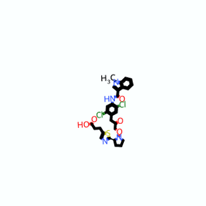 Cn1cc(C(=O)Nc2cc(Cl)c(CC(=O)CON3CCC[C@H]3c3ncc(CCC(=O)O)s3)cc2Cl)c2ccccc21